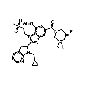 COc1cc(C(=O)N2C[C@H](N)C[C@@H](F)C2)cc2nc(C3Cc4cccnc4N3CC3CC3)n(CCS(C)(=O)=O)c12